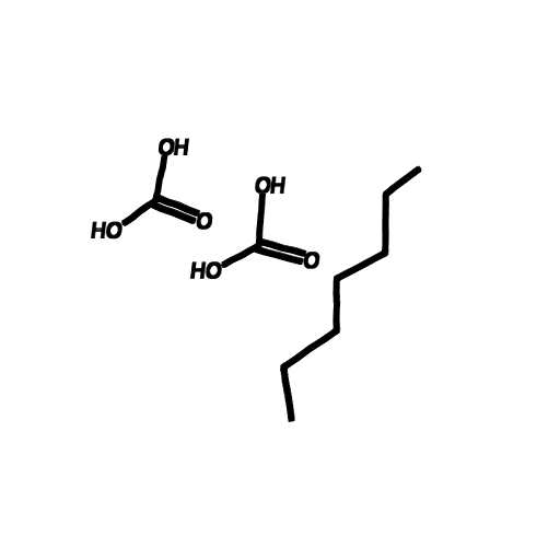 CCCCCCC.O=C(O)O.O=C(O)O